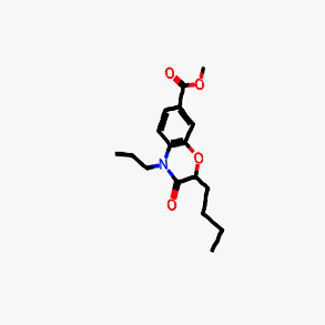 CCCCC1Oc2cc(C(=O)OC)ccc2N(CCC)C1=O